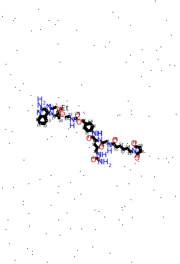 CCOCc1nc2c(N)nc3ccccc3c2n1CC(C)(C)OCCNC(=O)OCc1ccc(NC(=O)[C@H](CCCNC(N)=O)NC(=O)CNC(=O)CCCCCN2C(=O)C=CC2=O)cc1